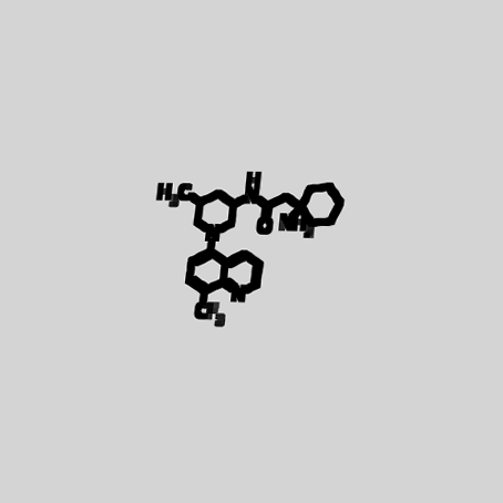 CC1CC(NC(=O)CC2(N)CCCCC2)CN(c2ccc(C(F)(F)F)c3ncccc23)C1